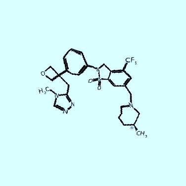 C[C@H]1CCCN(Cc2cc(C(F)(F)F)c3c(c2)S(=O)(=O)N(c2cccc(C4(Cc5nncn5C)COC4)c2)C3)C1